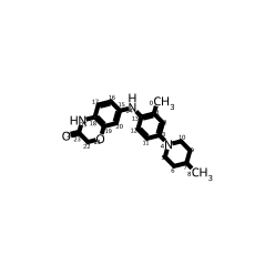 Cc1cc(N2CCC(C)CC2)ccc1Nc1ccc2c(c1)OCC(=O)N2